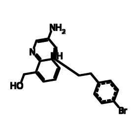 NC1=CN=C2C(CO)=CC=CC23NC(CCc2ccc(Br)cc2)=CC=C13